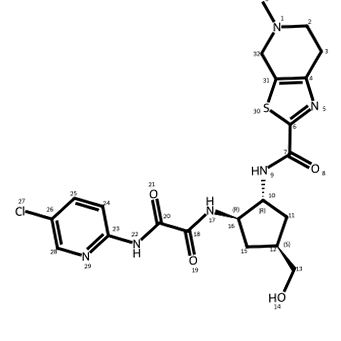 CN1CCc2nc(C(=O)N[C@@H]3C[C@@H](CO)C[C@H]3NC(=O)C(=O)Nc3ccc(Cl)cn3)sc2C1